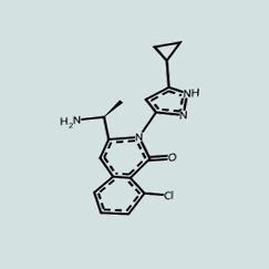 C[C@H](N)c1cc2cccc(Cl)c2c(=O)n1-c1cc(C2CC2)[nH]n1